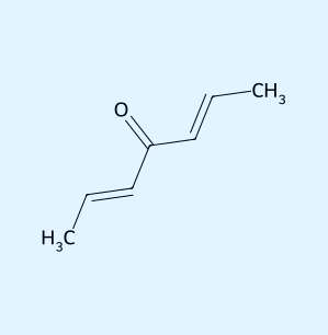 CC=CC(=O)C=CC